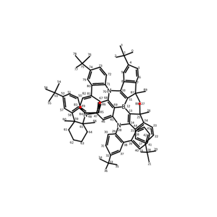 CC(C)(C)c1ccc2c(c1)C1=C(B3C4=C(c5cc(C(C)(C)C)ccc5C4(C)C)N(c4ccc(C(C)(C)C)cc4-c4ccccc4)c4cc(N5c6ccc(C(C)(C)C)cc6C6(C)CCCCC56C)cc(c43)N1c1ccc(C(C)(C)C)cc1-c1ccccc1)C2(C)C